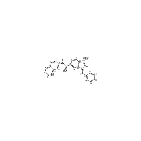 O=C(Nc1ccc2cccnc2c1)c1ccc2c(Br)cn(Cc3ccccc3)c2c1